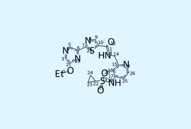 CCOc1cncc(-c2ncc(C(=O)NCc3cc(NS(=O)(=O)C4CC4)ccn3)s2)n1